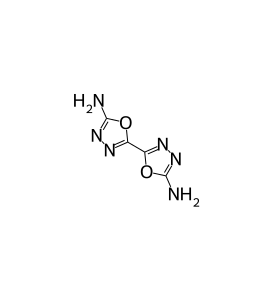 Nc1nnc(-c2nnc(N)o2)o1